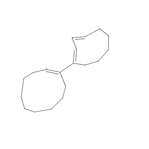 [C]1=C(/C2=C\C=C\CCCCC2)CCCCCCCC/1